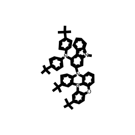 Cn1c2ccccc2c2c(N(c3ccc(C(C)(C)C)cc3)c3ccc(C(C)(C)C)cc3)cc(N3c4ccc(C(C)(C)C)cc4B4c5cc(C(C)(C)C)ccc5Oc5cccc3c54)cc21